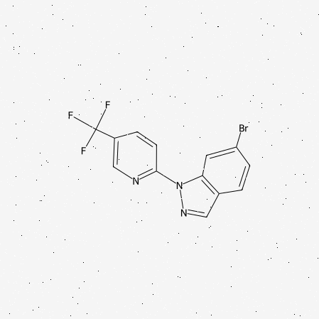 FC(F)(F)c1ccc(-n2ncc3ccc(Br)cc32)nc1